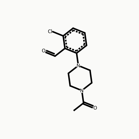 CC(=O)N1CCN(c2cccc(Cl)c2C=O)CC1